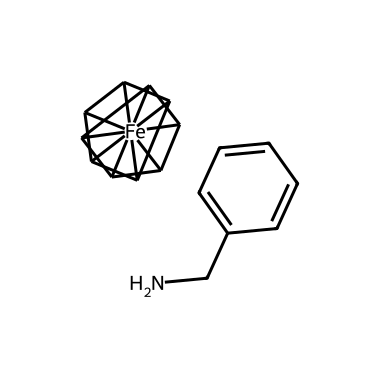 NCc1ccccc1.[CH]12[CH]3[CH]4[CH]5[CH]1[Fe]23451678[CH]2[CH]1[CH]6[CH]7[CH]28